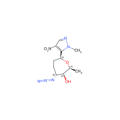 C[C@@H]1O[C@H](c2c([N+](=O)[O-])cnn2C)CC[C@@H](N=[N+]=[N-])[C@@H]1O